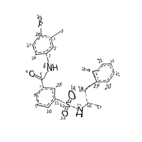 Cc1cc(NC(=O)c2cccc(S(=O)(=O)NC(C)Cc3ccccc3)c2)ccc1F